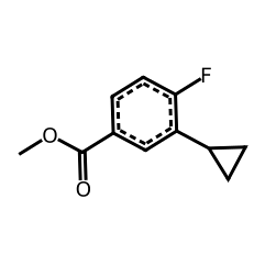 COC(=O)c1ccc(F)c(C2CC2)c1